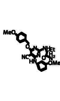 CC[C@@H](Nc1nc(Nc2cccc(OC)c2)c(C#N)c(OCc2ccc(OC)cc2)n1)C(N)=O